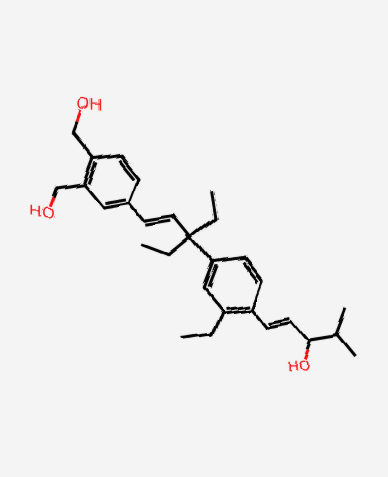 CCc1cc(C(C=Cc2ccc(CO)c(CO)c2)(CC)CC)ccc1C=CC(O)C(C)C